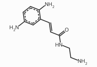 NCCNC(=O)C=Cc1cc(N)ccc1N